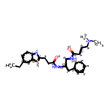 CCc1ccc2nc(CCC(=O)NC(CNC(=O)/C=C/CN(C)C)Cc3ccccc3)sc2c1